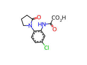 O=C(O)C(=O)Nc1cc(Cl)ccc1N1CCCC1=O